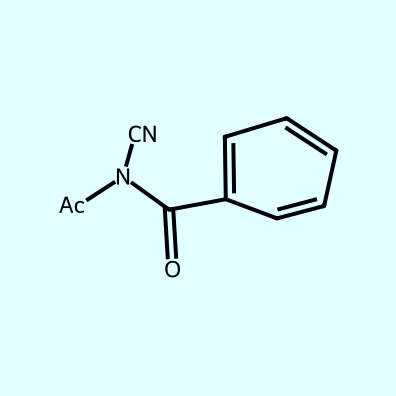 CC(=O)N(C#N)C(=O)c1ccccc1